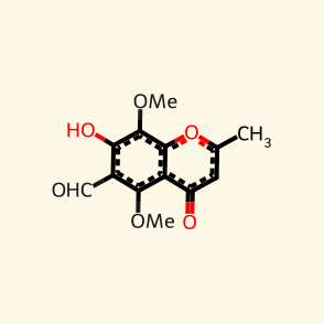 COc1c(O)c(C=O)c(OC)c2c(=O)cc(C)oc12